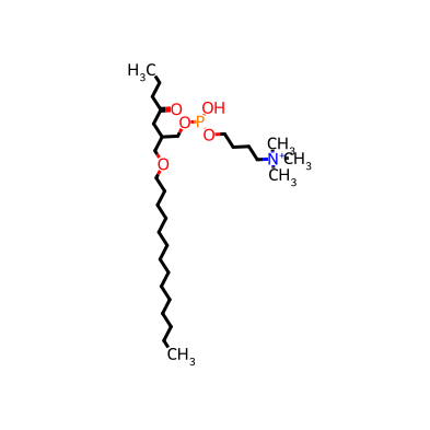 CCCCCCCCCCCCCCOCC(COP(O)OCCCC[N+](C)(C)C)CC(=O)CCC